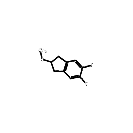 COC1Cc2cc(F)c(F)cc2C1